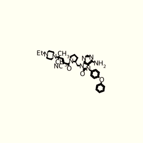 CCN1CCN(C(C)(C)C=C(C#N)C(=O)N2CCC[C@H]2Cn2c(=O)n(-c3ccc(Oc4ccccc4)cc3)c3c(N)ncnc32)CC1